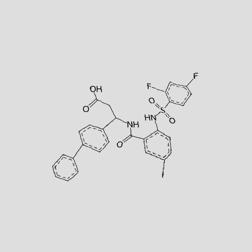 O=C(O)CC(NC(=O)c1cc(I)ccc1NS(=O)(=O)c1ccc(F)cc1F)c1ccc(-c2ccccc2)cc1